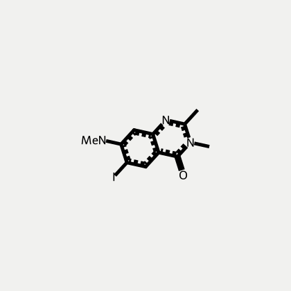 CNc1cc2nc(C)n(C)c(=O)c2cc1I